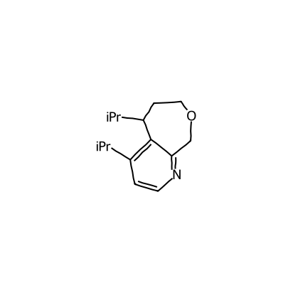 CC(C)c1ccnc2c1C(C(C)C)CCOC2